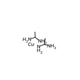 CC(N)N.CC(N)N.[Cu]